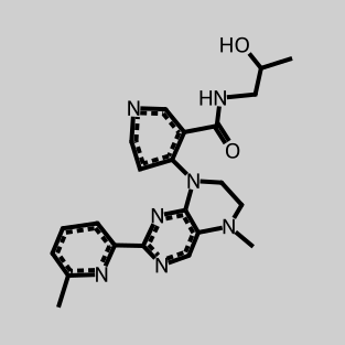 Cc1cccc(-c2ncc3c(n2)N(c2ccncc2C(=O)NCC(C)O)CCN3C)n1